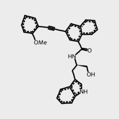 COc1ccccc1C#Cc1cc(C(=O)N[C@@H](CO)Cc2c[nH]c3ccccc23)c2ccccc2c1